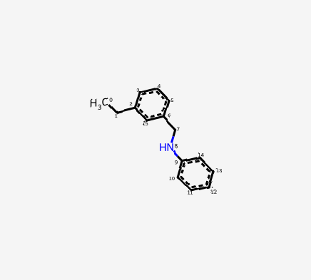 CCc1cccc(CNc2cc[c]cc2)c1